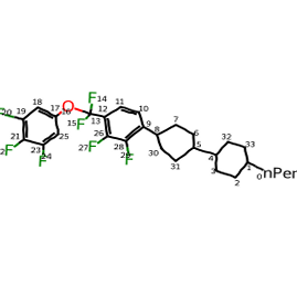 CCCCCC1CCC(C2CCC(c3ccc(C(F)(F)Oc4cc(F)c(F)c(F)c4)c(F)c3F)CC2)CC1